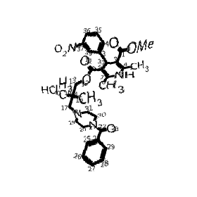 COC(=O)C1=C(C)NC(C)=C(C(=O)OCC(C)(C)CN2CCN(C(=O)c3ccccc3)CC2)C1c1cccc([N+](=O)[O-])c1.Cl